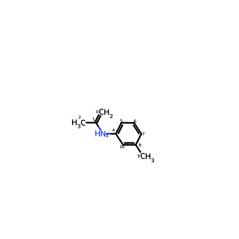 C=C(C)Nc1cccc(C)c1